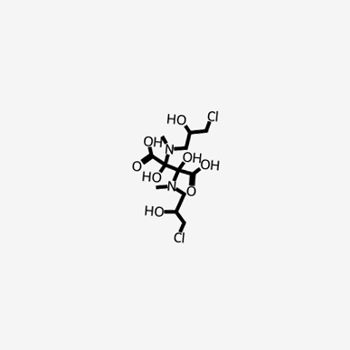 CN(CC(O)CCl)C(O)(C(=O)O)C(O)(C(=O)O)N(C)CC(O)CCl